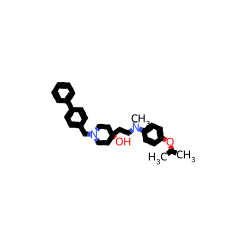 CC(C)Oc1ccc(N(C)CCC2(O)CCN(Cc3ccc(-c4ccccc4)cc3)CC2)cc1